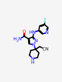 N#CCC1(n2cc(C(N)=O)c(Nc3cncc(F)c3)n2)CCNCC1